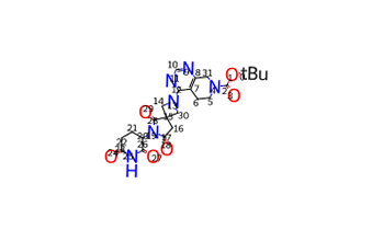 CC(C)(C)OC(=O)N1CCc2c(ncnc2N2CC3(CC(=O)N(C4CCC(=O)NC4=O)C3=O)C2)C1